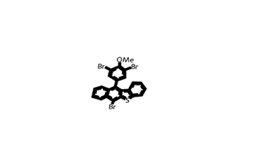 COc1c(Br)cc(-c2c3ccccc3c(Br)c3sc4ccccc4c23)cc1Br